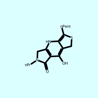 CCCCCC1=C2NC3=C(C(=O)N(CCC)C3)C(O)=C2CS1